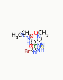 CC(=O)N1CCC(c2nsc(Nc3cc(Oc4cc(C(=O)NCCN(C)C)ccc4Cl)c(Br)cn3)n2)CC1